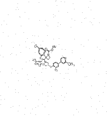 Cc1cc(-c2ccc(SC3C[C@@H](C(=O)NC4(C#N)CC4)N(C(=O)C4(c5ncc(Cl)cc5F)CCN4C(=O)OC(C)(C)C)C3)c(Cl)c2)ccn1